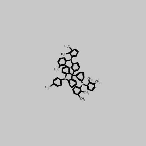 Cc1ccc(N2c3ccccc3C(c3cccc(N(c4cccc(C)c4C)c4cccc(C)c4C)c3)(c3cccc(N(c4cccc(C)c4C)c4cccc(C)c4C)c3)c3ccccc32)cc1